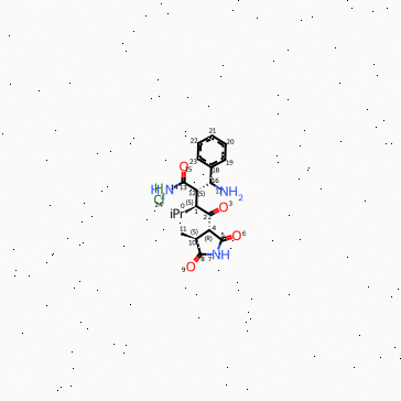 CC(C)[C@H](C(=O)[C@@H]1C(=O)NC(=O)[C@H]1C)[C@H](C(N)=O)C(N)c1ccccc1.Cl